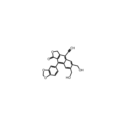 C#Cc1c2c(c(-c3ccc4c(c3)OCO4)c3cc(CO)c(CO)cc13)C(=O)OC2